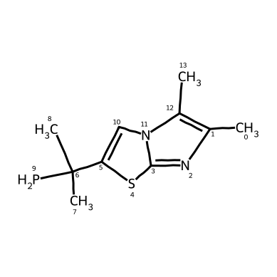 Cc1nc2sc(C(C)(C)P)cn2c1C